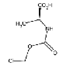 C[C@H](NC(=O)OCCl)C(=O)O